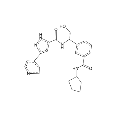 O=C(NC1CCCC1)c1cccc([C@@H](CO)NC(=O)c2cc(-c3ccncc3)n[nH]2)c1